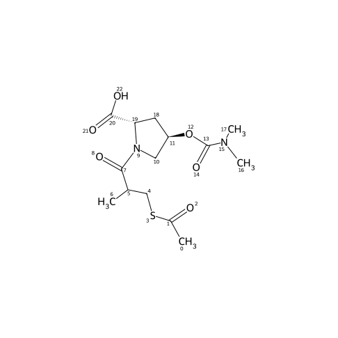 CC(=O)SCC(C)C(=O)N1C[C@H](OC(=O)N(C)C)C[C@H]1C(=O)O